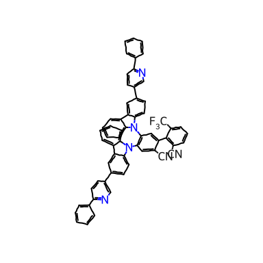 N#Cc1cc(-n2c3ccccc3c3cc(-c4ccc(-c5ccccc5)nc4)ccc32)c(-n2c3ccccc3c3cc(-c4ccc(-c5ccccc5)nc4)ccc32)cc1-c1c(C#N)cccc1C(F)(F)F